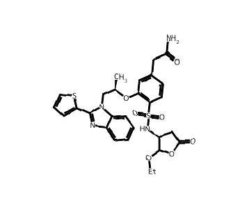 CCOC1OC(=O)CC1NS(=O)(=O)c1ccc(CC(N)=O)cc1O[C@H](C)Cn1c(-c2cccs2)nc2ccccc21